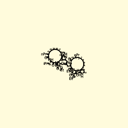 CCCC1CCCCCCC2(CCNC2=O)C[C@@H](C(O)P(=O)(OCC)OCC)NC(=O)[C@H](CC(C)CC2CC3(CCCCCCCC(CCC)C(=O)N[C@@H](CC(C)C)C(=O)N[C@H](C(O)P(=O)(OCC)OCC)C3)C(=O)N2)NC(=O)C1